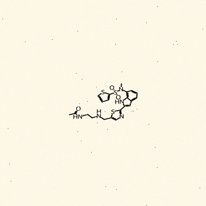 CC(=O)NCCNCc1cnc(-c2cc3cccc(N(C)S(=O)(=O)c4cccs4)c3[nH]2)s1